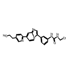 O=C(NCC(F)(F)F)Nc1cccc(-c2cnc3cc(-c4ccc(CCO)cn4)ccn23)c1